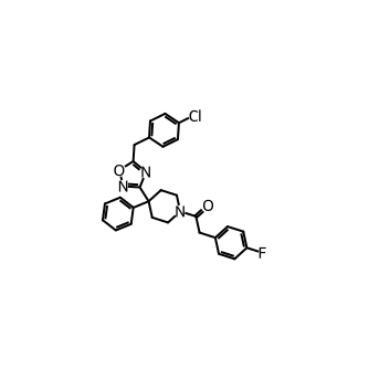 O=C(Cc1ccc(F)cc1)N1CCC(c2ccccc2)(c2noc(Cc3ccc(Cl)cc3)n2)CC1